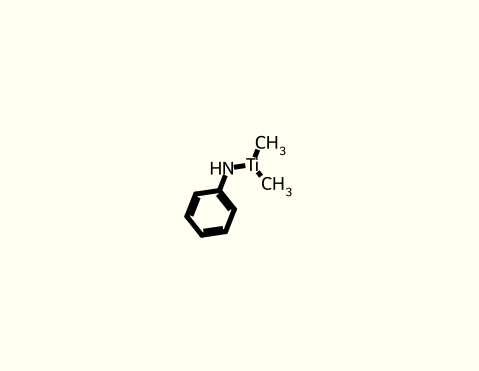 [CH3][Ti]([CH3])[NH]c1ccccc1